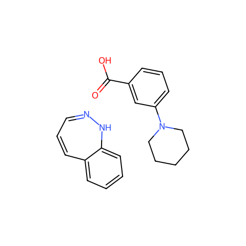 C1=Cc2ccccc2NN=C1.O=C(O)c1cccc(N2CCCCC2)c1